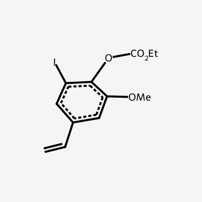 C=Cc1cc(I)c(OC(=O)OCC)c(OC)c1